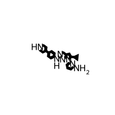 Nc1cccc(-n2c(C3CC3)cc3cnc(Nc4ccc(C5=CCNCC5)cc4)nc32)n1